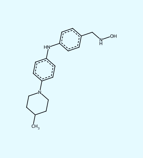 CC1CCN(c2ccc(Nc3ccc(CNO)cc3)cc2)CC1